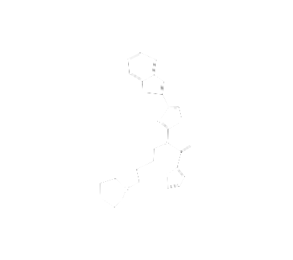 O=C(c1cccs1)N(CCCCN1CCOCC1)c1nc(-c2cc3ccccc3o2)cs1